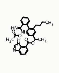 CCCCc1cc(C(C)OC(=O)c2cccc3nc[nH]c23)ccc1-c1ccccc1C(=N)NOC(C)=O